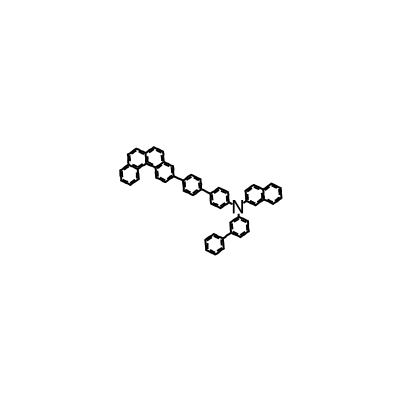 c1ccc(-c2cccc(N(c3ccc(-c4ccc(-c5ccc6c(ccc7ccc8ccccc8c76)c5)cc4)cc3)c3ccc4ccccc4c3)c2)cc1